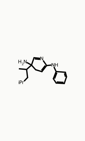 CC(C)CC(C)C1(N)C=NC(Nc2ccccc2)=CC1